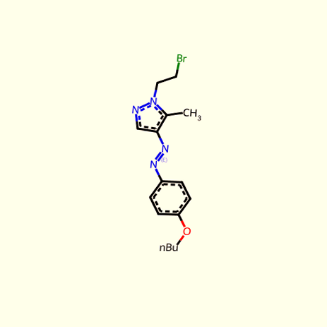 CCCCOc1ccc(/N=N/c2cnn(CCBr)c2C)cc1